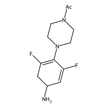 CC(=O)N1CCN(C2=C(F)CC(N)C=C2F)CC1